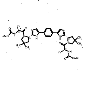 COC(=O)N[C@H](C(=O)N1CC(C)(C)C[C@H]1c1ncc(-c2ccc(-c3cnc([C@@H]4CC(C)(C)CN4C(=O)[C@@H](NC(=O)OC)C(C)C)[nH]3)cc2)[nH]1)C(C)C